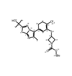 Cc1nc2sc(C(C)(C)O)nn2c1C1=CC(SC2CN(C(=O)OC(C)(C)C)C2)=C(C(F)(F)F)CC1